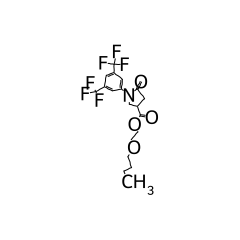 CCCCOCCOC(=O)C1CC(=O)N(c2cc(C(F)(F)F)cc(C(F)(F)F)c2)C1